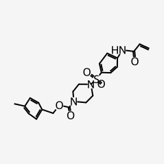 C=CC(=O)Nc1ccc(S(=O)(=O)N2CCN(C(=O)OCc3ccc(C)cc3)CC2)cc1